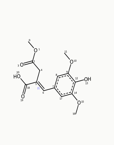 COC(=O)C/C(=C\c1cc(OC)c(O)c(OC)c1)C(=O)O